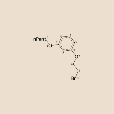 CCCCCOc1cccc(OCCBr)c1